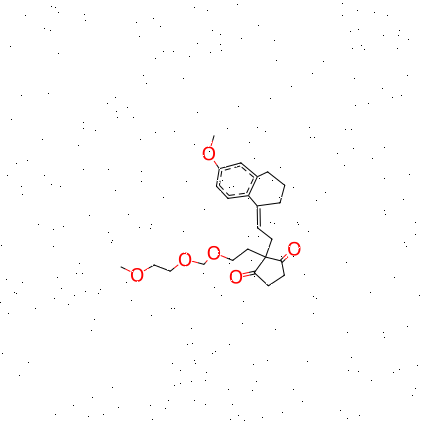 COCCOCOCCC1(C/C=C2\CCCc3cc(OC)ccc32)C(=O)CCC1=O